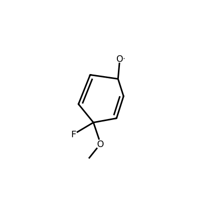 COC1(F)C=CC([O])C=C1